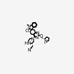 CN1C(=O)C2(CCc3c(nc(OC[C@@H]4CCCN4C)nc3N3CCN[C@@H](CC#N)C3)C2)c2ccccc21